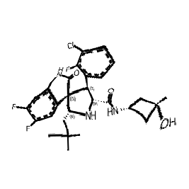 CC(C)(C)C[C@H]1N[C@@H](C(=O)N[C@H]2C[C@@](C)(O)C2)[C@H](c2cccc(Cl)c2F)[C@@]12C(=O)Nc1cc(F)c(F)cc12